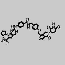 CN(C)C(=O)c1cc2cnc(Nc3ccc(C(=O)NCc4ccc(OCc5scc6c5CN(C5CCC(=O)NC5=O)C6=O)cc4)cc3)nc2n1C1CCCC1